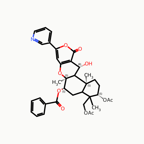 CC(=O)OCC1(C)C2C[C@H](OC(=O)c3ccccc3)[C@@]3(C)Oc4cc(-c5cccnc5)oc(=O)c4[C@H](O)C3[C@@]2(C)CC[C@@H]1OC(C)=O